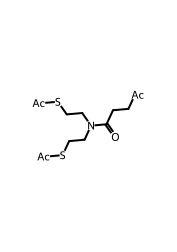 CC(=O)CCC(=O)N(CCSC(C)=O)CCSC(C)=O